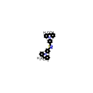 CC1(C)c2ccccc2N(c2ccc(-c3nnc(-c4ccc(N5c6ccccc6C(C)(C)c6ccccc65)cc4)s3)cc2)c2ccccc21